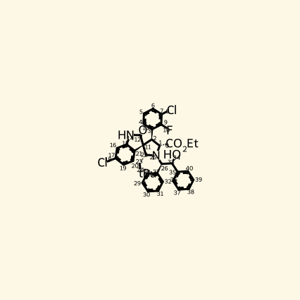 CCOC(=O)[C@H]1[C@H](c2cccc(Cl)c2F)[C@@]2(C(=O)Nc3cc(Cl)ccc32)[C@@H](CC(C)(C)C)N1[C@H](c1ccccc1)[C@@H](O)c1ccccc1